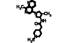 Cc1ncc(N2C[C@@H](C)[C@@H](NC(=O)CC3CCN(C)CC3)C2)c2cccnc12